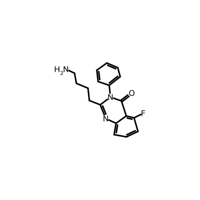 NCCCCc1nc2cccc(F)c2c(=O)n1-c1ccccc1